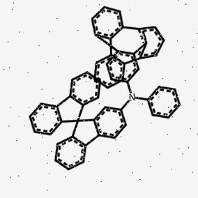 c1ccc(N(c2ccc3c(c2)-c2c4cccc2-c2cccc-3c2-c2ccccc2-4)c2ccc3c(c2)C2(c4ccccc4-c4ccccc42)c2ccccc2-3)cc1